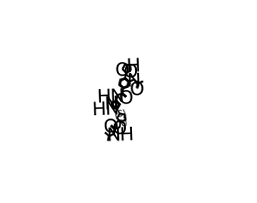 CC(=O)Nc1cc(C(=O)Nc2cc([C@H]3CC[C@@H](OC(=O)NC(C)C)C3)[nH]n2)ccc1C1OCCO1